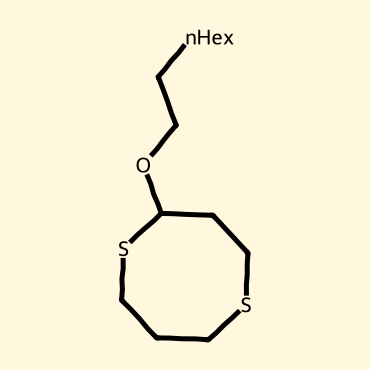 CCCCCCCCOC1CCSCCCS1